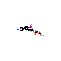 O=C(COC(=O)C(F)(F)F)NC[C@@H]1OC(=O)N2c3ccc(C4=CCNCC4)cc3C[C@@H]12